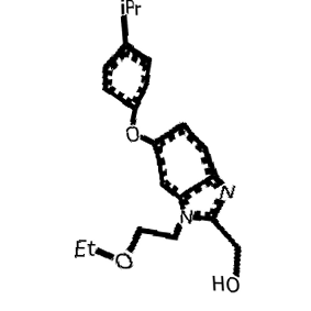 CCOCCn1c(CO)nc2ccc(Oc3ccc(C(C)C)cc3)cc21